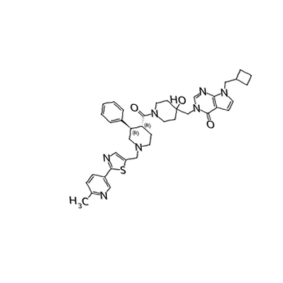 Cc1ccc(-c2ncc(CN3CC[C@@H](C(=O)N4CCC(O)(Cn5cnc6c(ccn6CC6CCC6)c5=O)CC4)[C@H](c4ccccc4)C3)s2)cn1